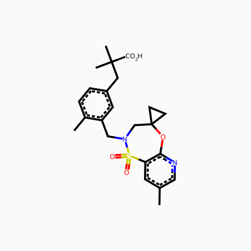 Cc1cnc2c(c1)S(=O)(=O)N(Cc1cc(CC(C)(C)C(=O)O)ccc1C)CC1(CC1)O2